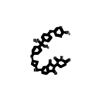 CC(C)(c1ccc(Oc2cnc(C(F)(F)F)nc2)cc1)c1ccc(O[C@H]2C[C@H](Nc3ccc4c(c3)C(=O)N(C3CCC(=O)NC3=O)C4=O)C2)cc1